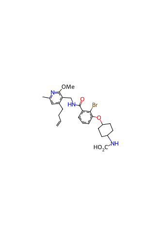 C=CCCc1cc(C)nc(OC)c1CNC(=O)c1cccc(OC2CCC(NC(=O)O)CC2)c1Br